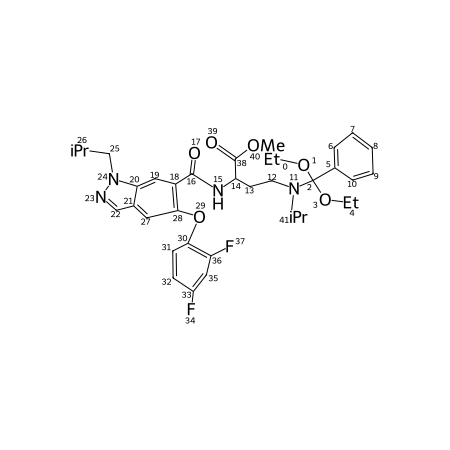 CCOC(OCC)(c1ccccc1)N(CCC(NC(=O)c1cc2c(cnn2CC(C)C)cc1Oc1ccc(F)cc1F)C(=O)OC)C(C)C